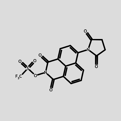 O=C1c2cccc3c(N4C(=O)CCC4=O)ccc(c23)C(=O)N1OS(=O)(=O)C(F)(F)F